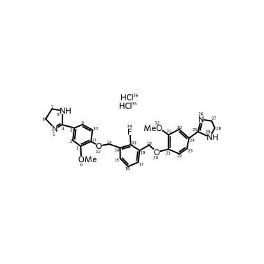 COc1cc(C2=NCCN2)ccc1OCc1cccc(COc2ccc(C3=NCCN3)cc2OC)c1F.Cl.Cl